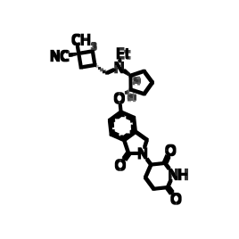 CCN(C[C@H]1C[C@](C)(C#N)C1)[C@H]1CCC[C@@H]1Oc1ccc2c(c1)CN(C1CCC(=O)NC1=O)C2=O